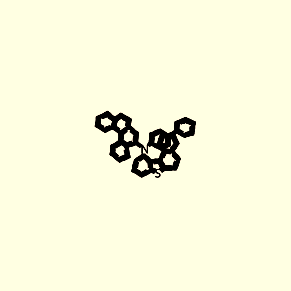 c1ccc(-c2ccc(N(c3cc4ccc5ccccc5c4c4ccccc34)c3cccc4sc5ccc6ccccc6c5c34)cc2)cc1